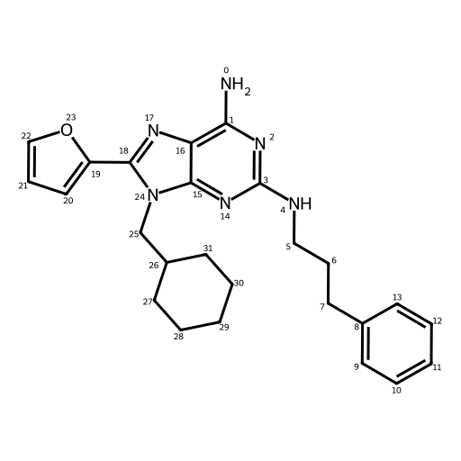 Nc1nc(NCCCc2ccccc2)nc2c1nc(-c1ccco1)n2CC1CCCCC1